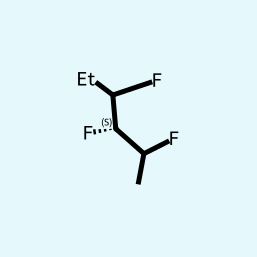 [CH2]CC(F)[C@@H](F)C(C)F